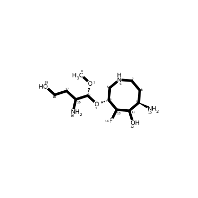 CO[C@H](O[C@@H]1CNCC[C@@H](N)C(O)C1F)C(N)CCO